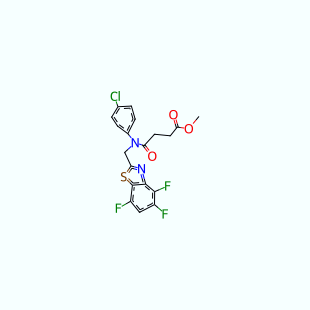 COC(=O)CCC(=O)N(Cc1nc2c(F)c(F)cc(F)c2s1)c1ccc(Cl)cc1